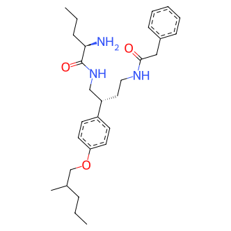 CCCC(C)COc1ccc([C@@H](CCNC(=O)Cc2ccccc2)CNC(=O)[C@H](N)CCC)cc1